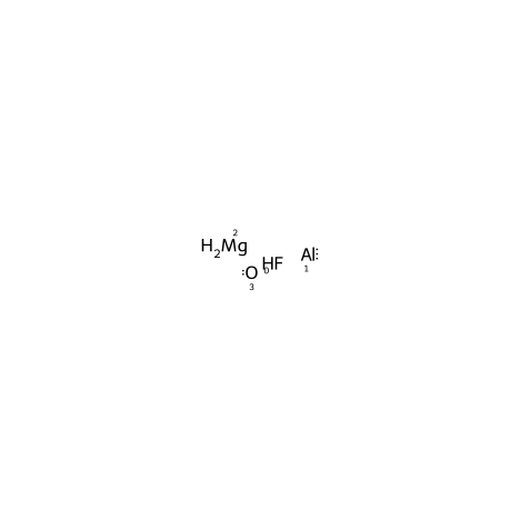 F.[Al].[MgH2].[O]